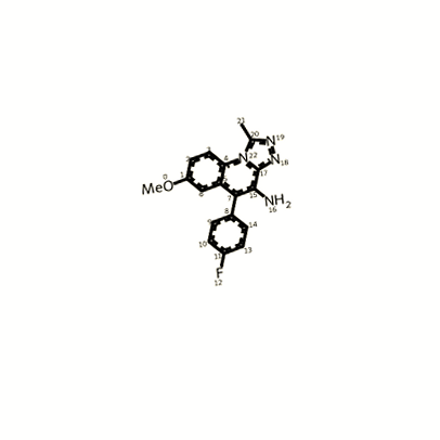 COc1ccc2c(c1)c(-c1ccc(F)cc1)c(N)c1nnc(C)n12